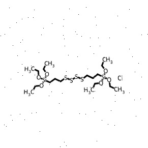 CCO[Si](CCCSSSSCCC[Si](OCC)(OCC)OCC)(OCC)OCC.[C]